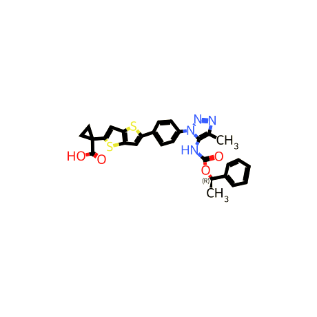 Cc1nnn(-c2ccc(-c3cc4sc(C5(C(=O)O)CC5)cc4s3)cc2)c1NC(=O)O[C@H](C)c1ccccc1